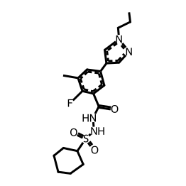 CCCn1cc(-c2cc(C)c(F)c(C(=O)NNS(=O)(=O)C3CCCCC3)c2)cn1